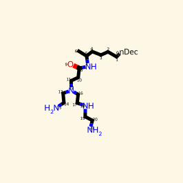 CCCCCCCCCCCCCCC(C)NC(=O)CCN(CCN)CCNCCN